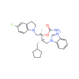 C[C@](CN1CCc2cc(F)ccc21)(OC(N)=O)[C@@H](CC1CCCC1)Cn1cnc2ccccc21